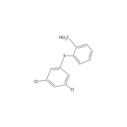 O=C(O)c1ccccc1Sc1cc(Cl)cc(Cl)c1